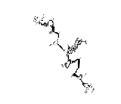 COCC[O][AlH][O]CCOC.[HH].[NaH]